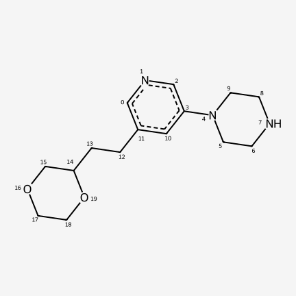 c1ncc(N2CCNCC2)cc1CCC1COCCO1